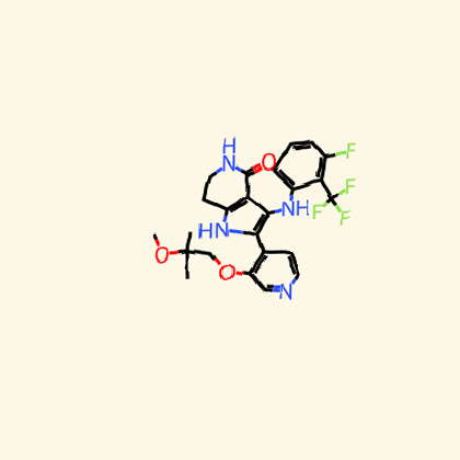 COC(C)(C)COc1cnccc1-c1[nH]c2c(c1Nc1cccc(F)c1C(F)(F)F)C(=O)NCC2